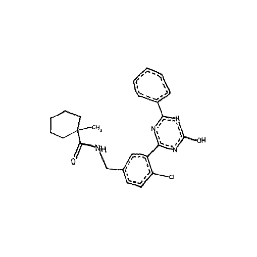 CC1(C(=O)NCc2ccc(Cl)c(-c3nc(O)nc(-c4ccccc4)n3)c2)CCCCC1